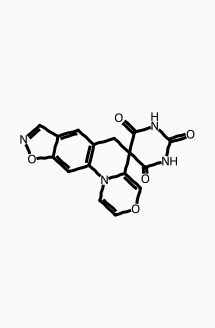 O=C1NC(=O)C2(Cc3cc4cnoc4cc3N3C=COC=C32)C(=O)N1